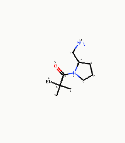 CCC(C)(C)C(=O)N1CCCC1CN